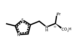 Cc1ncc(CN[C@H](C(=O)O)C(C)C)s1